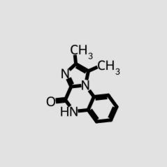 Cc1nc2c(=O)[nH]c3ccccc3n2c1C